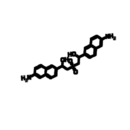 Nc1ccc2cc(C(O)CS(=O)(=O)CC(O)c3ccc4cc(N)ccc4c3)ccc2c1